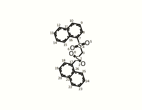 O=S(=O)(CS(=O)(=O)c1cccc2ccccc12)c1cccc2ccccc12